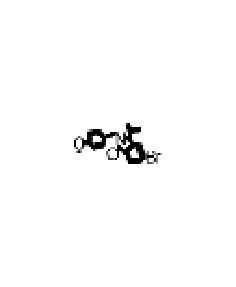 COc1ccc(CN2C(=O)c3ccc(Br)cc3C2C(C)C)cc1